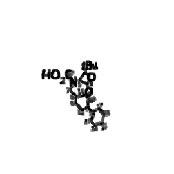 CC(C)(C)[C@@H]1OC(=O)[C@@H]1N(Cc1ccc(-c2ccccc2)cc1)C(=O)O